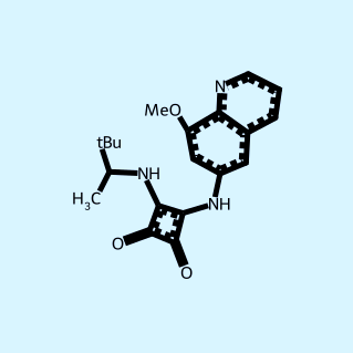 COc1cc(Nc2c(NC(C)C(C)(C)C)c(=O)c2=O)cc2cccnc12